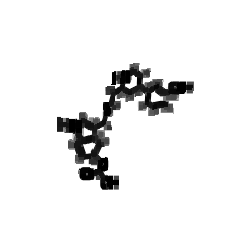 O=C(O)Oc1ccc2[nH]cc(CSCCC3CC(c4cccc(O)c4)=CCN3)c2c1